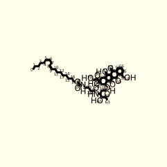 CCCCC/C=C\C/C=C\CCCCCCCCOC(=O)NCCCC(=O)NC1C[C@H](O[C@H]2C[C@](O)(C(=O)CO)Cc3c(O)c4c(c(O)c32)C(=O)c2c(CO)cccc2C4=O)OC(C)C1O